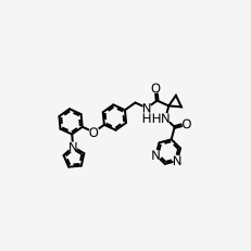 O=C(NC1(C(=O)NCc2ccc(Oc3ccccc3-n3cccc3)cc2)CC1)c1cncnc1